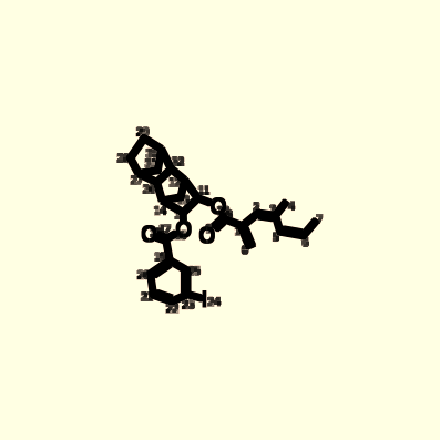 C=C(/C=C(C)\C=C/C)C(=O)OC1C2CC(C1OC(=O)c1cccc(I)c1)C1C3CCC(C3)C21